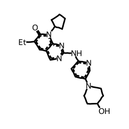 CCc1cc2cnc(Nc3ccc(N4CCC(O)CC4)cn3)nc2n(C2CCCC2)c1=O